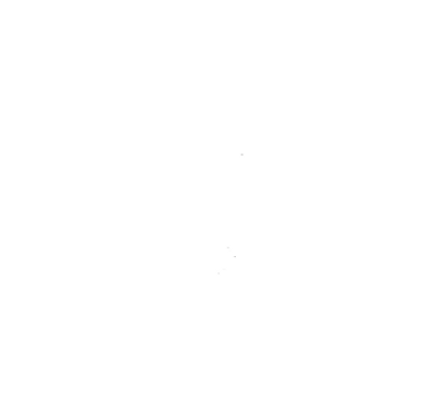 CC1OC(OCCCCCS)[C@@H](O)[C@@H](O)C1O